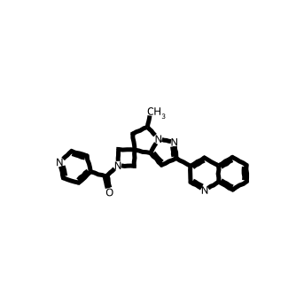 CC1CC2(CN(C(=O)c3ccncc3)C2)c2cc(-c3cnc4ccccc4c3)nn21